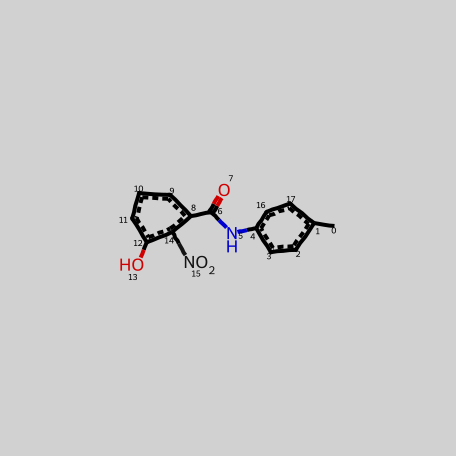 Cc1ccc(NC(=O)c2cccc(O)c2[N+](=O)[O-])cc1